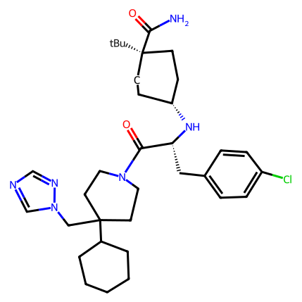 CC(C)(C)[C@]1(C(N)=O)CC[C@H](N[C@H](Cc2ccc(Cl)cc2)C(=O)N2CCC(Cn3cncn3)(C3CCCCC3)CC2)CC1